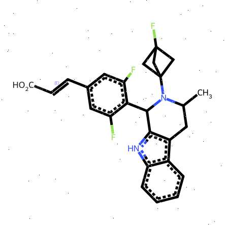 CC1Cc2c([nH]c3ccccc23)C(c2c(F)cc(/C=C/C(=O)O)cc2F)N1C12CC(F)(C1)C2